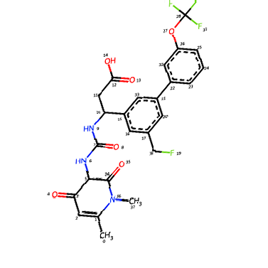 CC1=CC(=O)C(NC(=O)NC(CC(=O)O)c2cc(CF)cc(-c3cccc(OC(F)(F)F)c3)c2)C(=O)N1C